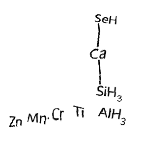 [AlH3].[Cr].[Mn].[SiH3][Ca][SeH].[Ti].[Zn]